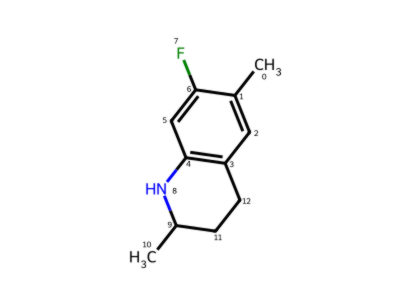 Cc1cc2c(cc1F)NC(C)CC2